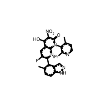 Cc1ccnc(C(C)C)c1-n1c(=O)c([N+](=O)[O-])c(O)c2cc(F)c(-c3c(C)ccc4[nH]ncc34)nc21